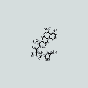 COC(=O)c1c(Cl)cccc1-c1ccc([C@@H](C)NC(=O)C2(NC(=O)c3cc(C)no3)COC2)c(F)c1